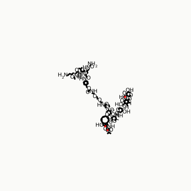 CCN(CC(=O)NCCOCCOCCNC(=O)OCc1ccc(NC(=O)[C@H](CCCNC(N)=O)NC(=O)[C@@H](NC(=O)[C@H](CCCCN)NC(C)=O)C(C)C)cc1)[C@H]1CO[C@@H](O[C@H]2[C@H](O[C@H]3C#CC=CC#C[C@]4(O)CC(=O)C(NC(=O)OC)=C3/C4=C\CSSC(C)C)O[C@H](C)[C@@H](NO[C@H]3C[C@H](O)[C@H]([SH]=C(O)c4c(C)c(I)c(O[C@@H]5O[C@@H](C)[C@H](O)[C@@H](OC)[C@H]5O)c(OC)c4OC)[C@@H](C)O3)[C@@H]2O)C[C@@H]1OC